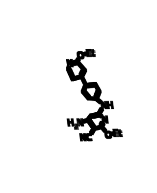 CCOc1cc(-c2ccc(Nc3cc(N)c(C#N)c(OCC)n3)cc2)ccn1